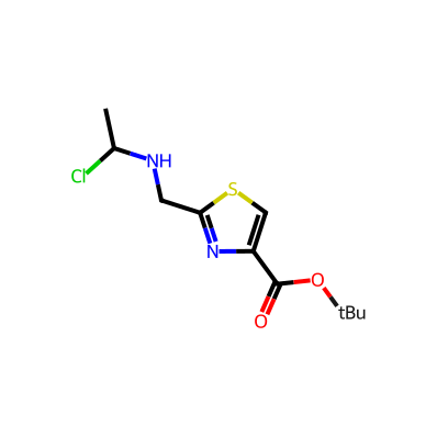 CC(Cl)NCc1nc(C(=O)OC(C)(C)C)cs1